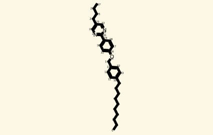 CCCCCCCCCCc1ccc(COc2ccc(-c3ncc(CCCC)cn3)cc2)cc1